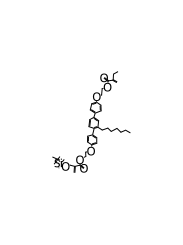 C=C(CC)C(=O)OCCOc1ccc(-c2ccc(-c3ccc(OCCOC(=O)C(=C)CO[Si](C)(C)C(C)(C)C)cc3)c(CCCCCCC)c2)cc1